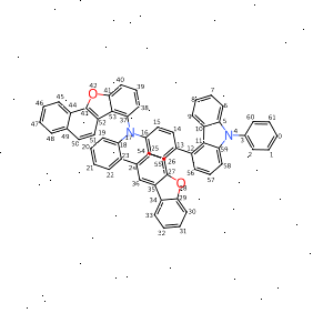 c1ccc(-n2c3ccccc3c3c(-c4ccc(N(c5ccccc5-c5ccc6oc7ccccc7c6c5)c5cccc6oc7c8ccccc8ccc7c56)cc4)cccc32)cc1